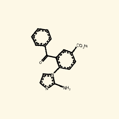 Nc1nccn1-c1ccc(C(=O)O)cc1C(=O)c1ccccc1